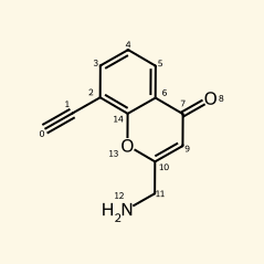 C#Cc1cccc2c(=O)cc(CN)oc12